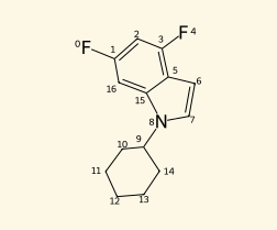 Fc1cc(F)c2ccn(C3CCCCC3)c2c1